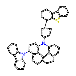 c1ccc2c(c1)ccc1cccc(N(c3ccc(-c4cccc5c4sc4ccccc45)cc3)c3ccc(-n4c5ccccc5c5ccccc54)cc3)c12